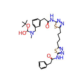 CN(Cc1cccc(CC(=O)Nc2nnc(CCCCc3nnc(NC(=O)Cc4ccccc4)s3)s2)c1)C(O)OC(C)(C)C